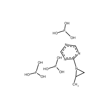 CC1CN1c1ncncn1.OP(O)O.OP(O)O.OP(O)O